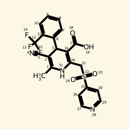 CC1=C(C#N)C(c2ccccc2C(F)(F)F)C(C(=O)O)=C(CS(=O)(=O)c2ccncc2)N1